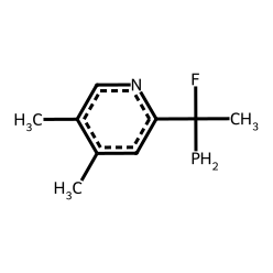 Cc1cnc(C(C)(F)P)cc1C